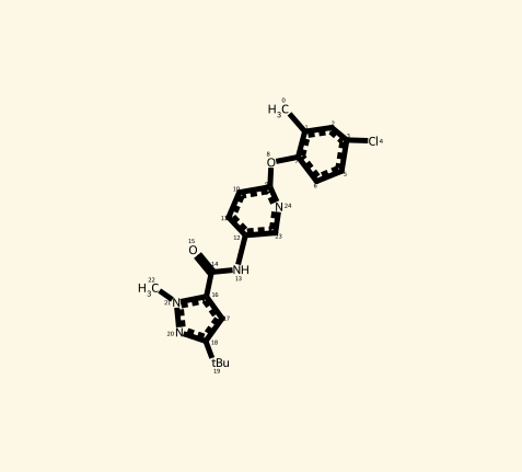 Cc1cc(Cl)ccc1Oc1ccc(NC(=O)c2cc(C(C)(C)C)nn2C)cn1